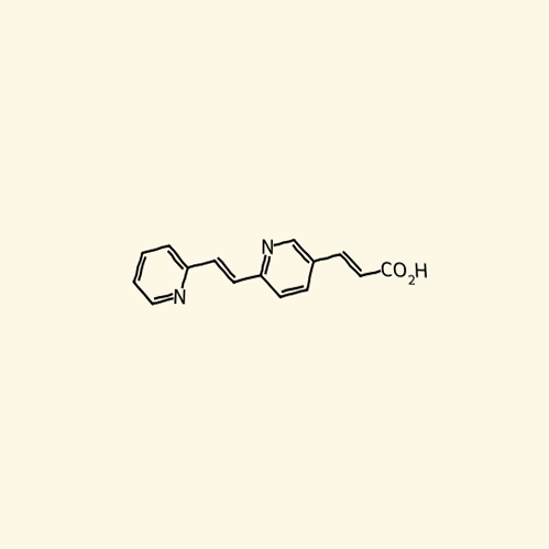 O=C(O)/C=C/c1ccc(/C=C/c2ccccn2)nc1